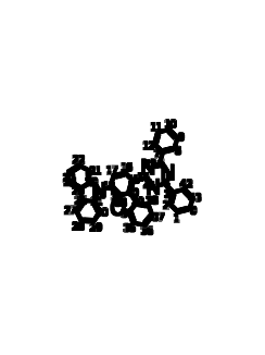 c1ccc(-c2nc(-c3ccccc3)nc(-c3ccc(-n4c5ccccc5c5ccccc54)c4oc5ccccc5c34)n2)cc1